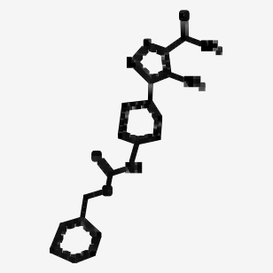 NC(=O)c1snc(-c2ccc(NC(=O)OCc3ccccc3)cc2)c1N